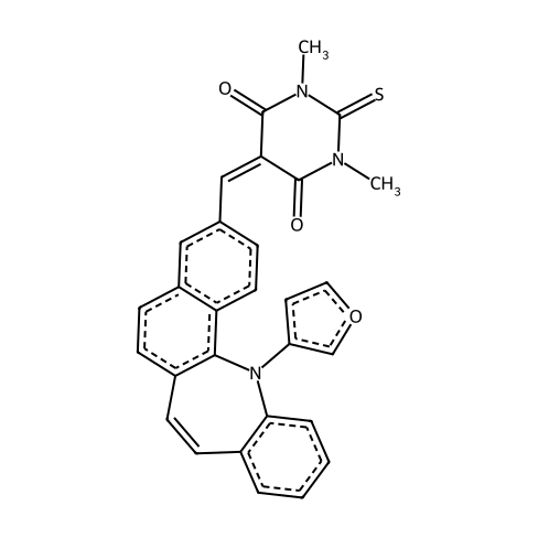 CN1C(=O)C(=Cc2ccc3c4c(ccc3c2)C=Cc2ccccc2N4c2ccoc2)C(=O)N(C)C1=S